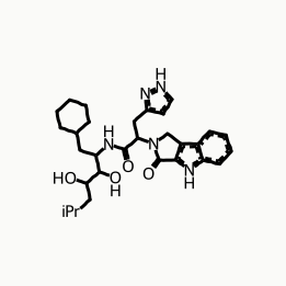 CC(C)CC(O)C(O)C(CC1CCCCC1)NC(=O)C(Cc1cc[nH]n1)N1Cc2c([nH]c3ccccc23)C1=O